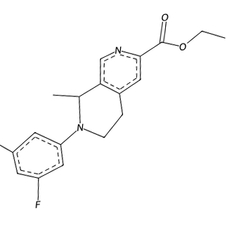 CCOC(=O)c1cc2c(cn1)C(C)N(c1cc(C)cc(F)c1)CC2